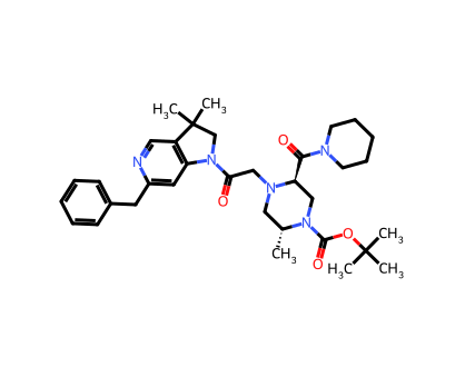 C[C@@H]1CN(CC(=O)N2CC(C)(C)c3cnc(Cc4ccccc4)cc32)[C@@H](C(=O)N2CCCCC2)CN1C(=O)OC(C)(C)C